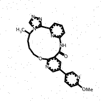 COc1ccc(-c2cnc3c(c2)C(=O)Nc2cccc(n2)-c2nncn2C(C)CCCO3)cn1